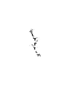 CCO[Si](C)(C)CCCOCC(O)CN(CCCN(CC(O)COCCC[Si](C)(C)OCC)C(C)C)C(C)C